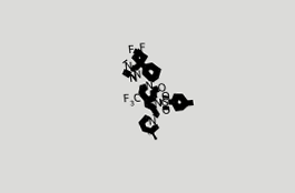 Cc1ccc(S(=O)(=O)n2c(CN3CCC[C@H](C)C3)cc3c(C(F)(F)F)cn(-c4cccc(C5(c6nncn6C)CC(F)(F)C5)c4)c(=O)c32)cc1